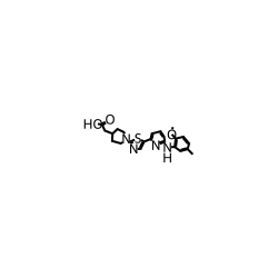 COc1ccc(C)cc1Nc1cccc(-c2cnc(N3CCC(CC(=O)O)CC3)s2)n1